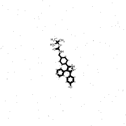 CC(C)(C)OC(=O)NCC1CCC(c2[nH]nc(-c3ccc(Cl)cc3)c2-c2ccncc2)CC1